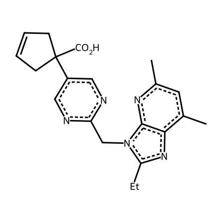 CCc1nc2c(C)cc(C)nc2n1Cc1ncc(C2(C(=O)O)CC=CC2)cn1